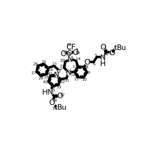 CC(C)(C)OC(=O)NCCOc1cccc2c1CN(S(=O)(=O)C(F)(F)F)C[C@@H](CCc1ccccc1)N2Cc1cc(NC(=O)OC(C)(C)C)ccn1